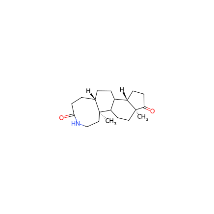 C[C@]12CCC3C(CC[C@H]4CCC(=O)NCC[C@]34C)[C@@H]1CCC2=O